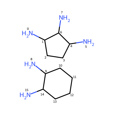 NC1CCC(N)C1N.NC1CCCCC1N